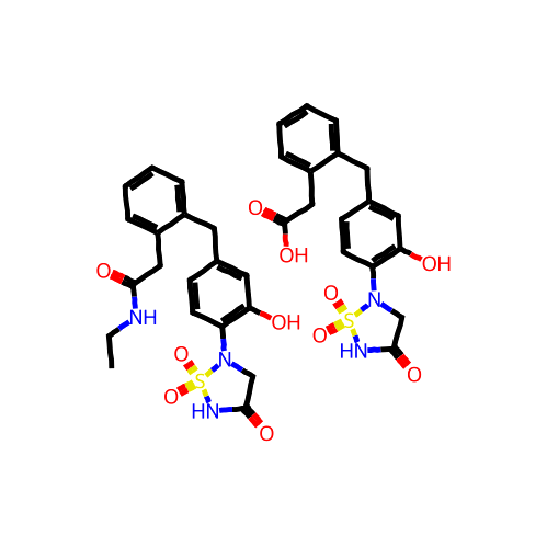 CCNC(=O)Cc1ccccc1Cc1ccc(N2CC(=O)NS2(=O)=O)c(O)c1.O=C(O)Cc1ccccc1Cc1ccc(N2CC(=O)NS2(=O)=O)c(O)c1